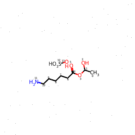 CC(O)OC(=O)CCCCCN.O=S(=O)(O)O